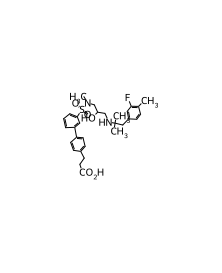 Cc1ccc(CC(C)(C)NCC(O)CN(C)S(=O)(=O)c2cccc(-c3ccc(CCC(=O)O)cc3)c2)cc1F